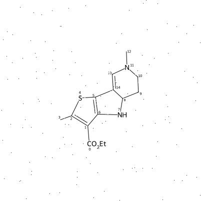 CCOC(=O)c1c(C)sc2c1NC1CCN(C)C=C21